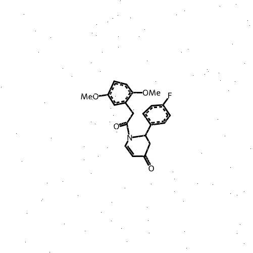 COc1ccc(OC)c(CC(=O)N2C=CC(=O)CC2c2ccc(F)cc2)c1